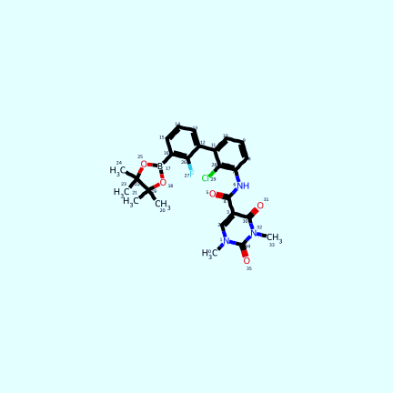 Cn1cc(C(=O)Nc2cccc(-c3cccc(B4OC(C)(C)C(C)(C)O4)c3F)c2Cl)c(=O)n(C)c1=O